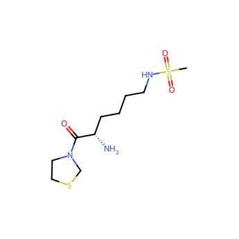 CS(=O)(=O)NCCCC[C@H](N)C(=O)N1CCSC1